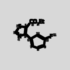 CCOC(=O)c1scnc1-c1cccc(F)c1